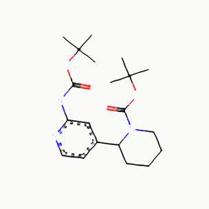 CC(C)(C)OC(=O)Nc1cc(C2CCCCN2C(=O)OC(C)(C)C)ccn1